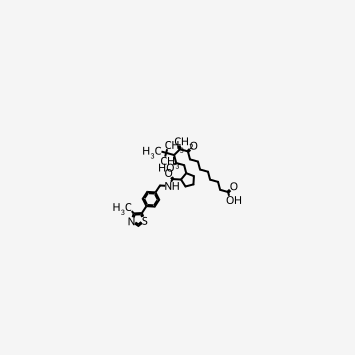 C=C(C(=O)CCCCCCCC(=O)O)C(C(O)CC1CCCC1C(=O)NCc1ccc(-c2scnc2C)cc1)C(C)(C)C